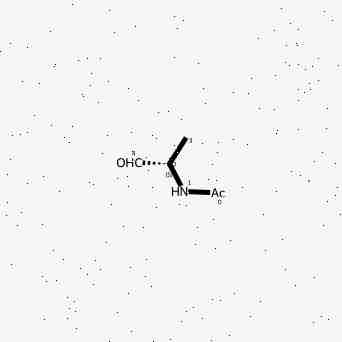 CC(=O)N[C@@H](C)C=O